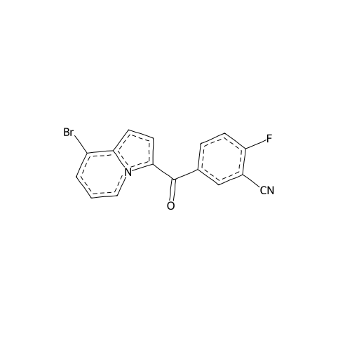 N#Cc1cc(C(=O)c2ccc3c(Br)cccn23)ccc1F